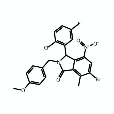 COc1ccc(CN2C(=O)c3c(C)c(Br)cc([N+](=O)[O-])c3C2c2cc(F)ccc2Cl)cc1